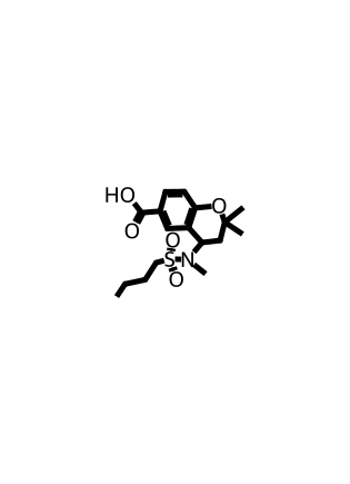 CCCCS(=O)(=O)N(C)C1CC(C)(C)Oc2ccc(C(=O)O)cc21